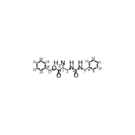 N[C@@H](CNC(=O)NCc1ccccc1)C(=O)OCc1ccccc1